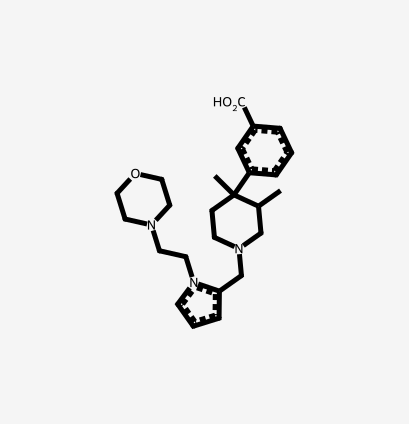 CC1CN(Cc2cccn2CCN2CCOCC2)CCC1(C)c1cccc(C(=O)O)c1